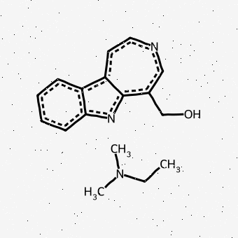 CCN(C)C.OCc1cnccc2c3ccccc3nc1-2